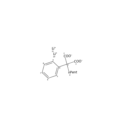 CCCCCC(C(=O)[O-])(C(=O)[O-])c1ccccc1.[Li+].[Li+]